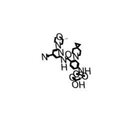 C[C@@H]1CN(c2cc(C#N)cc(NC(=O)c3ccc(NS(=O)(=O)CC(=O)O)cc3N3CCC4(CC3)CC4)n2)CCO1